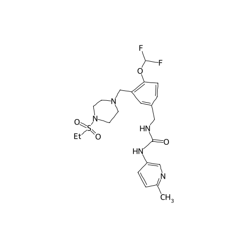 CCS(=O)(=O)N1CCN(Cc2cc(CNC(=O)Nc3ccc(C)nc3)ccc2OC(F)F)CC1